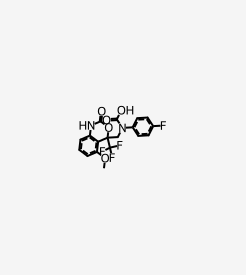 COc1cccc2c1C(CN(C(=O)O)c1ccc(F)cc1)(C(F)(F)F)OC(=O)N2